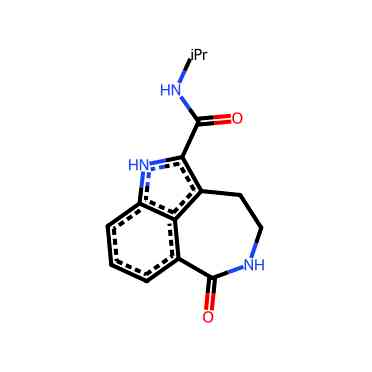 CC(C)NC(=O)c1[nH]c2cccc3c2c1CCNC3=O